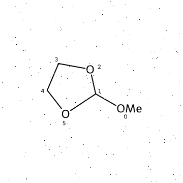 COC1OCCO1